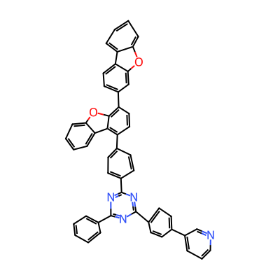 c1ccc(-c2nc(-c3ccc(-c4cccnc4)cc3)nc(-c3ccc(-c4ccc(-c5ccc6c(c5)oc5ccccc56)c5oc6ccccc6c45)cc3)n2)cc1